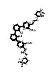 COc1nc(-c2cccc(-c3cccc(-c4cnc(CNC[C@@H]5CCS(=O)(=O)N5)c(OC)n4)c3Cl)c2Cl)cnc1CNC[C@@H]1CCS(=O)(=O)N1